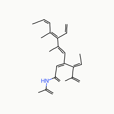 C=CC(/C(C)=C/C(=C/C(=C)NC(=C)C)C(=C\C)/C(=C)C)=C(C)\C=C/C